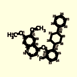 COc1cc2nccc(Oc3c(F)cccc3C3CCC(c4ccccc4)CC3)c2cc1OC